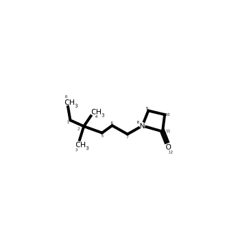 CCC(C)(C)CCCN1CCC1=O